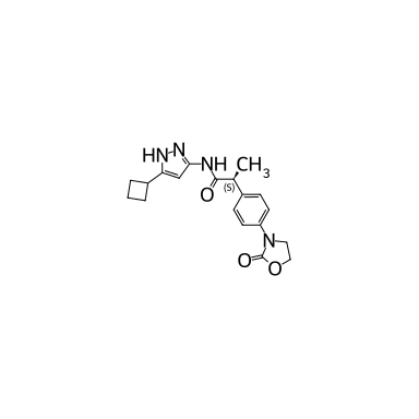 C[C@H](C(=O)Nc1cc(C2CCC2)[nH]n1)c1ccc(N2CCOC2=O)cc1